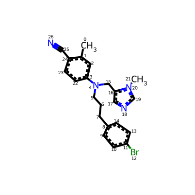 Cc1cc(N(CCCc2ccc(Br)cc2)Cc2cncn2C)ccc1C#N